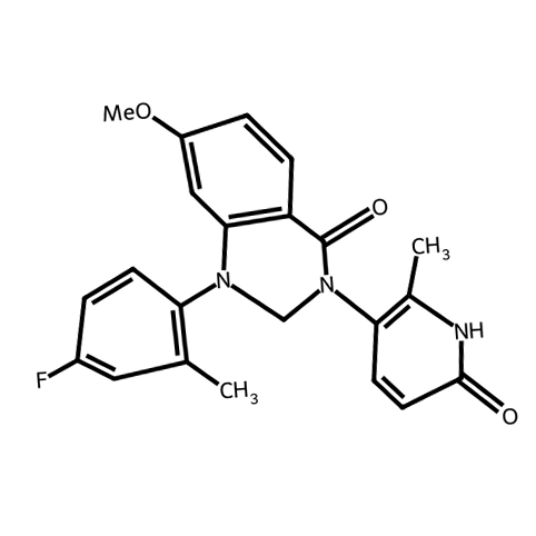 COc1ccc2c(c1)N(c1ccc(F)cc1C)CN(c1ccc(=O)[nH]c1C)C2=O